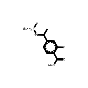 CNC(=O)c1ccc(C(C)N[S@@+]([O-])C(C)(C)C)cc1F